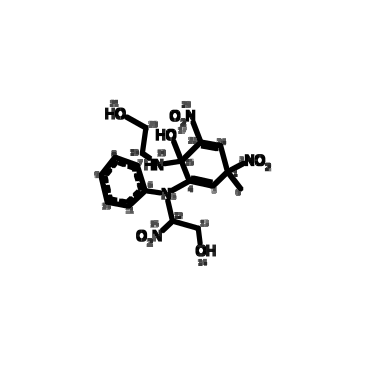 CC1([N+](=O)[O-])C=C(N(c2ccccc2)C(CO)[N+](=O)[O-])C(O)(NCCO)C([N+](=O)[O-])=C1